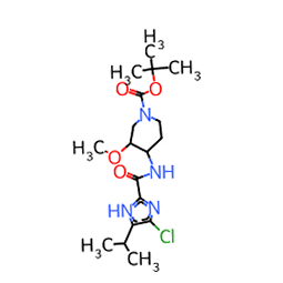 COC1CN(C(=O)OC(C)(C)C)CCC1NC(=O)c1nc(Cl)c(C(C)C)[nH]1